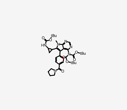 Cn1c(C2CC2NC(=O)OC(C)(C)C)c(-c2ccc(C(=O)N3CCCC3)cc2)c2c(N(C(=O)OC(C)(C)C)C(=O)OC(C)(C)C)ncnc21